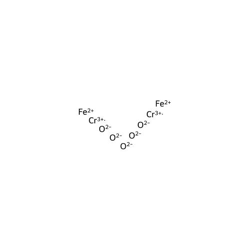 [Cr+3].[Cr+3].[Fe+2].[Fe+2].[O-2].[O-2].[O-2].[O-2].[O-2]